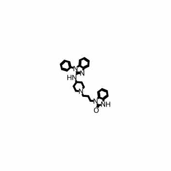 O=c1[nH]c2ccccc2n1CCCN1CCC(Nc2nc3ccccc3n2-c2ccccc2)CC1